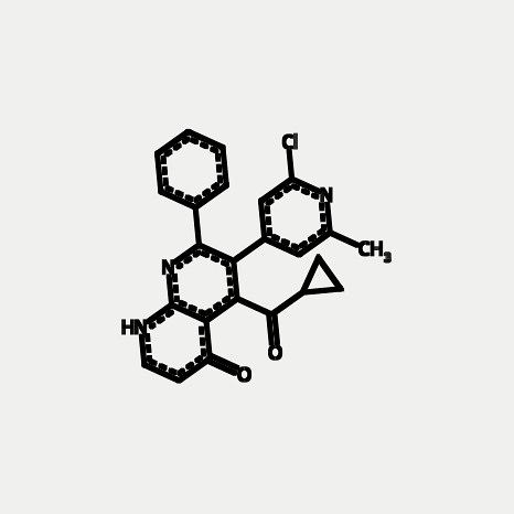 Cc1cc(-c2c(-c3ccccc3)nc3[nH]ccc(=O)c3c2C(=O)C2CC2)cc(Cl)n1